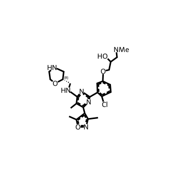 CNCC(O)COc1ccc(Cl)c(-c2nc(NC[C@H]3CNCCO3)c(C)c(-c3c(C)noc3C)n2)c1